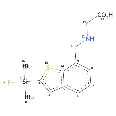 CC(C)(C)[Si](F)(c1cc2cccc(CNCC(=O)O)c2s1)C(C)(C)C